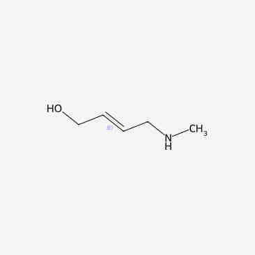 CNC/C=C/CO